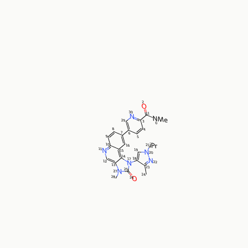 CNC(=O)c1ccc(-c2ccc3ncc4c(c3c2)n(-c2cn(C(C)C)nc2C)c(=O)n4C)cn1